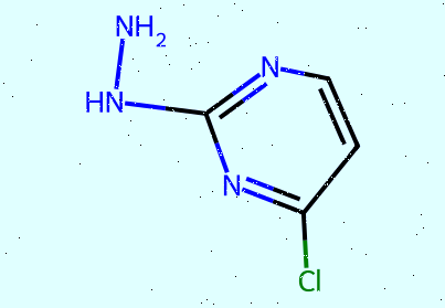 NNc1nccc(Cl)n1